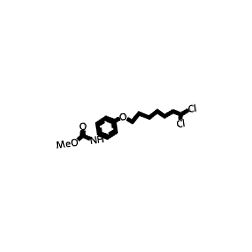 [CH2]OC(=O)Nc1ccc(OCCCCCCC(Cl)Cl)cc1